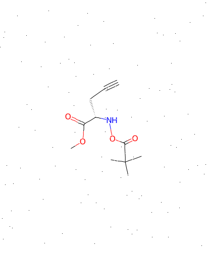 C#CC[C@H](NOC(=O)C(C)(C)C)C(=O)OC